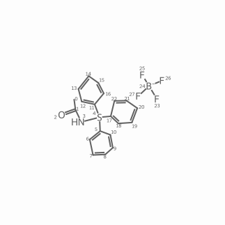 CC(=O)NS(c1ccccc1)(c1ccccc1)c1ccccc1.F[B-](F)(F)F